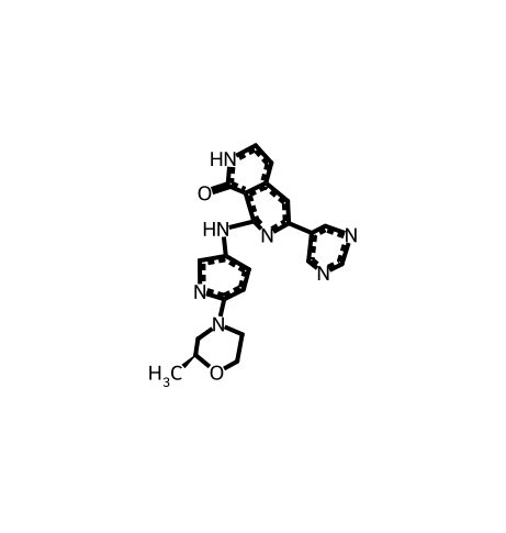 C[C@H]1CN(c2ccc(Nc3nc(-c4cncnc4)cc4cc[nH]c(=O)c34)cn2)CCO1